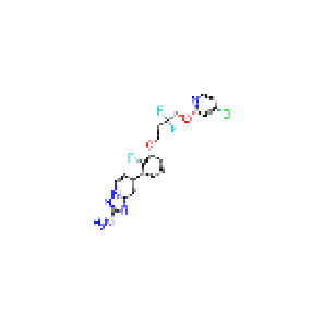 Nc1nc2cc(-c3cccc(OCCC(F)(F)COc4cc(Cl)ccn4)c3F)ccn2n1